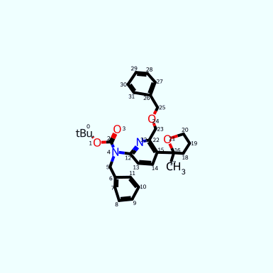 CC(C)(C)OC(=O)N(Cc1ccccc1)c1ccc(C2(C)CCCO2)c(COCc2ccccc2)n1